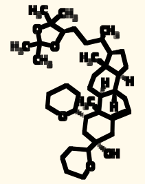 C[C@H](CC[C@H]1OC(C)(C)OC1(C)C)[C@H]1CC[C@H]2[C@@H]3CC=C4C[C@@](O)(C5CCCCO5)C[C@H](C5CCCCO5)[C@]4(C)[C@H]3CC[C@]12C